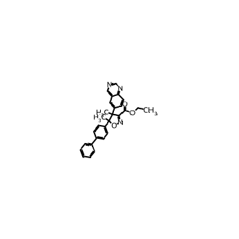 CCOC(=O)C1=NOC(C)(c2ccc(-c3ccccc3)cc2)C1(C)c1ccc2ncncc2c1